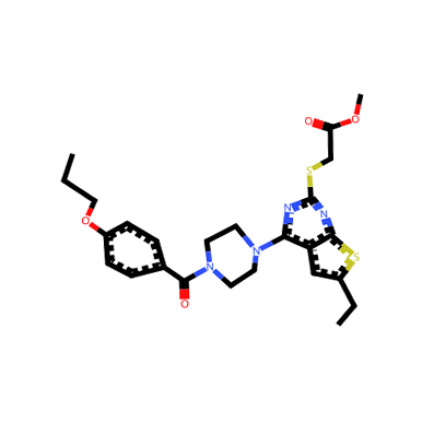 CCCOc1ccc(C(=O)N2CCN(c3nc(SCC(=O)OC)nc4sc(CC)cc34)CC2)cc1